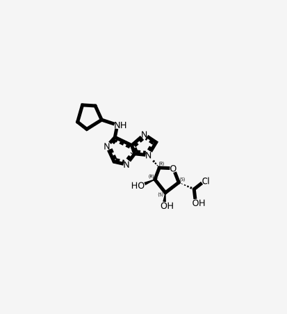 OC(Cl)[C@H]1O[C@@H](n2cnc3c(NC4CCCC4)ncnc32)[C@H](O)[C@@H]1O